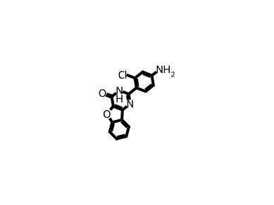 Nc1ccc(-c2nc3c(oc4ccccc43)c(=O)[nH]2)c(Cl)c1